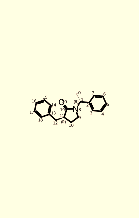 C[C@H](c1ccccc1)N1CC[C@@H](Cc2ccccc2)C1=O